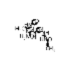 CC#CC(=O)NCCNc1cc(Nc2nc(NC3CCOCC3)c(CC)nc2C(N)=O)ccn1